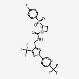 O=C(NCC1=NC(c2ccc(C(F)(F)F)nc2)N=C1C(F)(F)F)[C@@H]1CC[C@@H]1S(=O)(=O)c1ccc(F)cc1